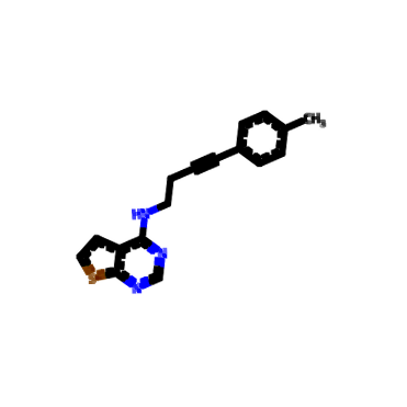 Cc1ccc(C#CCCNc2ncnc3sccc23)cc1